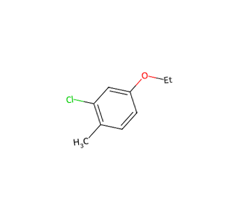 CCOc1ccc(C)c(Cl)c1